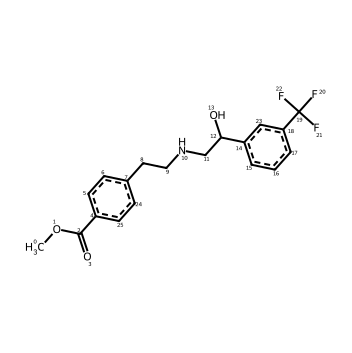 COC(=O)c1ccc(CCNCC(O)c2cccc(C(F)(F)F)c2)cc1